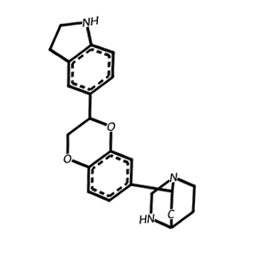 c1cc2c(cc1C1COc3ccc(C4CC5CCN4CN5)cc3O1)CCN2